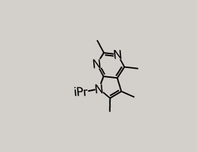 Cc1nc(C)c2c(C)c(C)n(C(C)C)c2n1